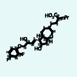 CCCC(CC[C@@H]1CC[C@@H]2[C@@H](C=C[C@@H](O)COc3ccc(F)cc3F)[C@H](O)C[C@@H]2OC1)C(=O)O